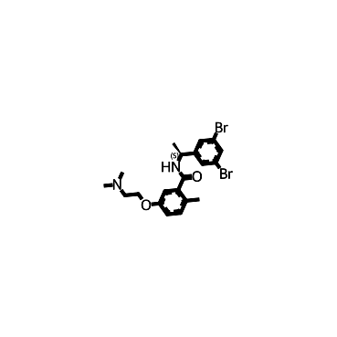 Cc1ccc(OCCN(C)C)cc1C(=O)N[C@@H](C)c1cc(Br)cc(Br)c1